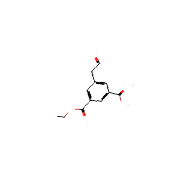 CCOC(=O)c1cc(CC=O)cc(C(=O)O)c1